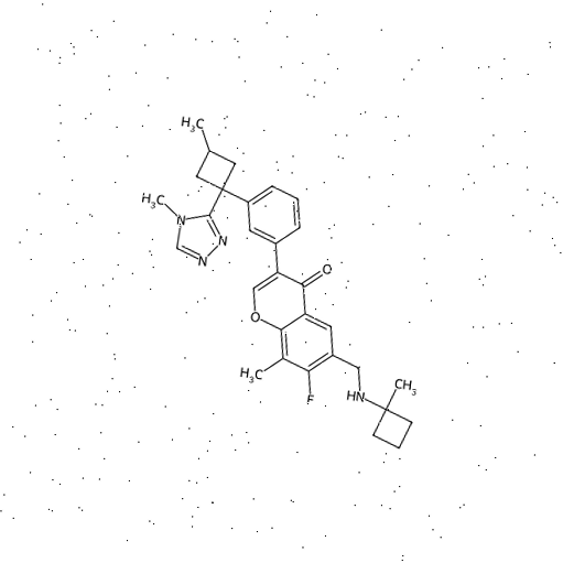 Cc1c(F)c(CNC2(C)CCC2)cc2c(=O)c(-c3cccc(C4(c5nncn5C)CC(C)C4)c3)coc12